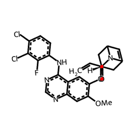 C=CC(=O)N1C2=CC1C[C@@H](Oc1cc3c(Nc4ccc(Cl)c(Cl)c4F)ncnc3cc1OC)C2